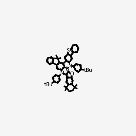 CC(C)(C)c1ccc(N2B3c4oc5cc6c(cc5c4N(c4ccc(C(C)(C)C)cc4)c4cc5c(c(c43)-c3cc4sc7ccccc7c4cc32)C(C)(C)c2ccccc2-5)C(C)(C)CCC6(C)C)cc1